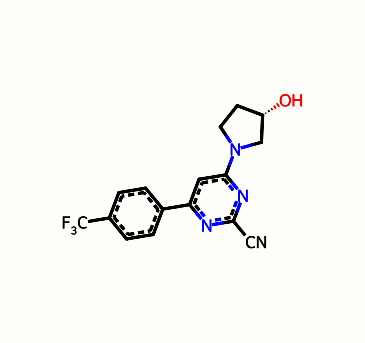 N#Cc1nc(-c2ccc(C(F)(F)F)cc2)cc(N2CC[C@H](O)C2)n1